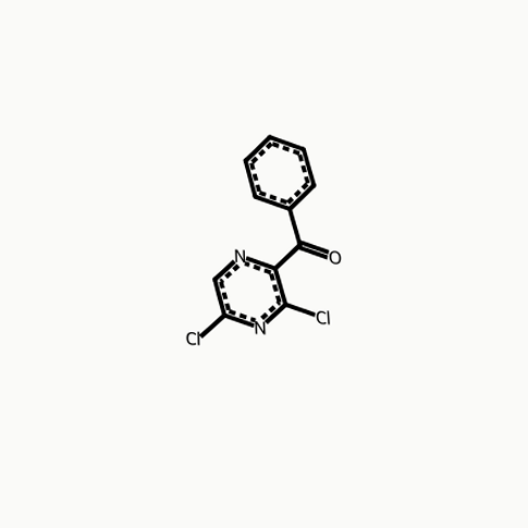 O=C(c1ccccc1)c1ncc(Cl)nc1Cl